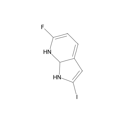 FC1=CC=C2C=C(I)NC2N1